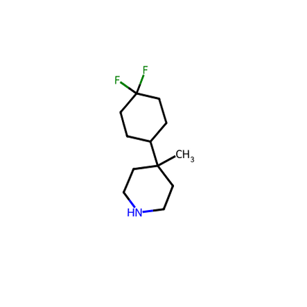 CC1(C2CCC(F)(F)CC2)CCNCC1